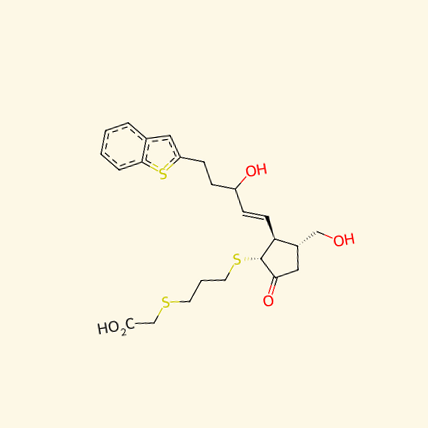 O=C(O)CSCCCS[C@H]1C(=O)C[C@@H](CO)[C@@H]1C=CC(O)CCc1cc2ccccc2s1